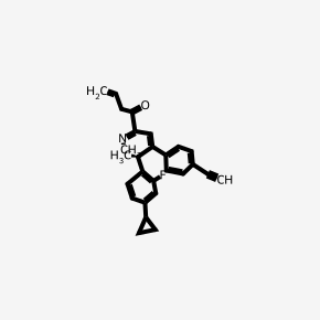 C#Cc1ccc(/C(=C/C(=N\C)C(=O)CC=C)[C@H](C)c2ccc(C3CC3)cc2F)cc1